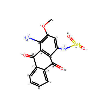 COc1cc(N[SH](=O)=O)c2c(c1N)C(=O)c1ccccc1C2=O